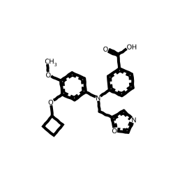 COc1ccc(N(Cc2cnco2)c2cccc(C(=O)O)c2)cc1OC1CCC1